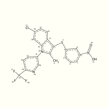 Cc1c(Sc2cccc(C(=O)O)c2)c2ccc(Cl)cc2n1-c1ccc(C(F)(F)F)nc1